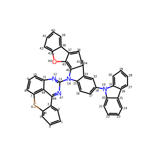 c1ccc2c(c1)Sc1cccc3nc(-n4c5ccc(-n6c7ccccc7c7ccccc76)cc5c5ccc6c7ccccc7oc6c54)nc-2c13